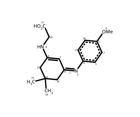 COc1ccc(/N=C2\C=C(NCC(=O)O)CC(C)(C)C2)cc1